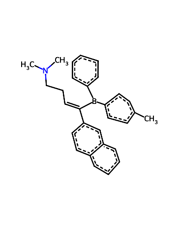 Cc1ccc(B(/C(=C\CCN(C)C)c2ccc3ccccc3c2)c2ccccc2)cc1